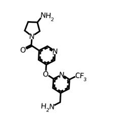 NCc1cc(Oc2cncc(C(=O)N3CCC(N)C3)c2)nc(C(F)(F)F)c1